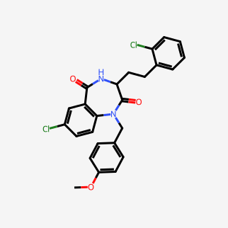 COc1ccc(CN2C(=O)C(CCc3ccccc3Cl)NC(=O)c3cc(Cl)ccc32)cc1